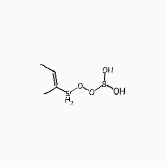 CC=C(C)[SiH2]OOB(O)O